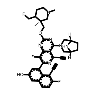 C#Cc1c(F)ccc2cc(O)cc(-c3nc(C#C)c4c(N5C[C@H]6CC[C@@H](C5)N6)nc(OC[C@]5(C)CN(C)CCC5CF)nc4c3F)c12